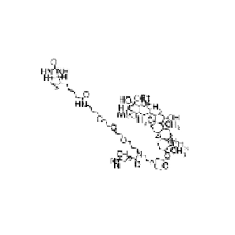 CCO[C@@H](C(C[C@@H](C)[C@H]1C[C@H](O)[C@@]2(C)C3CC[C@H]4C(C)(C)[C@@H](O[C@H]5CN(CCN(CCCOCCOCCOCCCNC(=O)CCCC[C@@H]6SC[C@@H]7NC(=O)N[C@@H]76)C(=O)CCC6(C)N=N6)CCO5)CC[C@@]45CC35CC[C@]12C)OC)C(C)(C)O